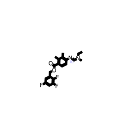 CCN(C)/C=N/c1ccc(C(=O)OCc2cc(F)cc(F)c2F)c(C)c1C